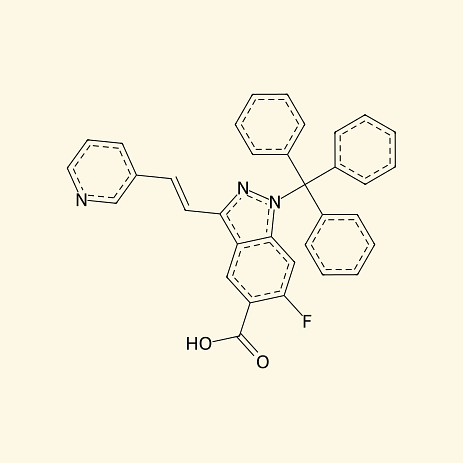 O=C(O)c1cc2c(C=Cc3cccnc3)nn(C(c3ccccc3)(c3ccccc3)c3ccccc3)c2cc1F